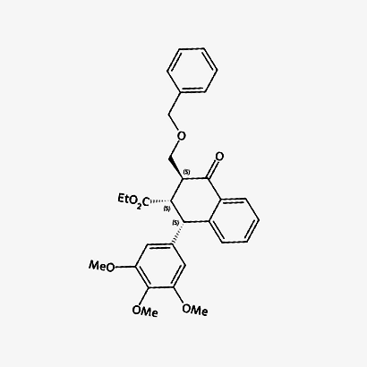 CCOC(=O)[C@H]1[C@@H](c2cc(OC)c(OC)c(OC)c2)c2ccccc2C(=O)[C@@H]1COCc1ccccc1